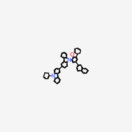 C1=CCCC(n2c3ccccc3c3cc(-c4ccc5c(c4)c4ccccc4n5-c4cc(-c5ccc6ccccc6c5)cc5c4OC4=CC=CCC45)ccc32)=C1